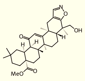 COC(=O)[C@]12CCC(C)(C)C[C@H]1[C@H]1C(=O)C=C3[C@@]4(C)Cc5cnoc5[C@@](C)(CO)[C@@H]4CC[C@@]3(C)[C@]1(C)CC2